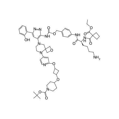 CCOC(=O)C1(C(=O)N[C@@H](CCCCN)C(=O)Nc2ccc(COC(=O)Nc3nnc(-c4ccccc4O)cc3N3CCN(c4ccnc(OC5CC(OC6CCN(C(=O)OC(C)(C)C)CC6)C5)c4)C4(COC4)C3)cc2)CCC1